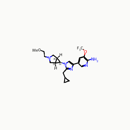 COCCN1C[C@@H]2[C@H](C1)[C@H]2n1cc(-c2cnc(N)c(OC(F)(F)F)c2)nc1CC1CC1